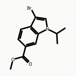 COC(=O)c1ccc2c(Br)cn(C(C)C)c2c1